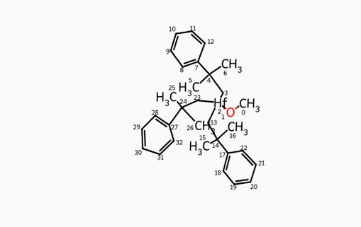 C[O][Hf]([CH2]C(C)(C)c1ccccc1)([CH2]C(C)(C)c1ccccc1)[CH2]C(C)(C)c1ccccc1